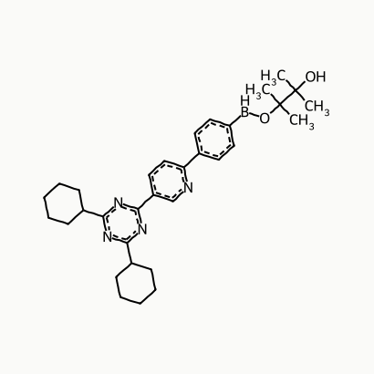 CC(C)(O)C(C)(C)OBc1ccc(-c2ccc(-c3nc(C4CCCCC4)nc(C4CCCCC4)n3)cn2)cc1